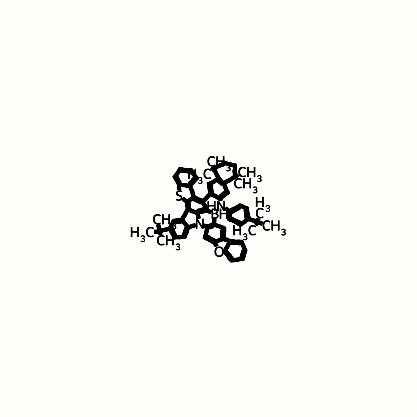 CC(C)(C)c1ccc(Nc2cc3c(cc2-c2c4c5c(c6cc(C(C)(C)C)ccc6n5-c5cc6oc7ccccc7c6cc5B4)c4sc5ccccc5c24)C(C)(C)CCC3(C)C)cc1